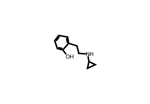 Oc1ccccc1CCNC1CC1